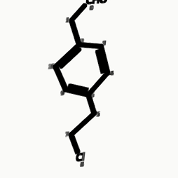 O=[C]Cc1ccc(CCCl)cc1